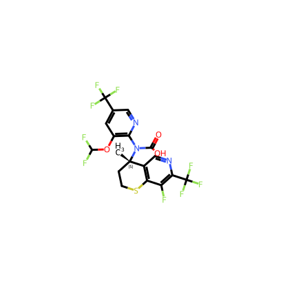 C[C@]1(N(C(=O)O)c2ncc(C(F)(F)F)cc2OC(F)F)CCSc2c1cnc(C(F)(F)F)c2F